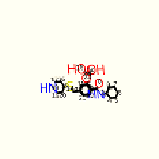 O=C(NC1CCCCC1)c1ccc(CSC2CCNCC2)cc1.O=C(O)O